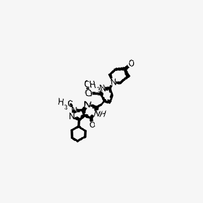 COc1nc(N2CCC(=O)CC2)ccc1-c1nc2c(c(C3CCCCC3)nn2C)c(=O)[nH]1